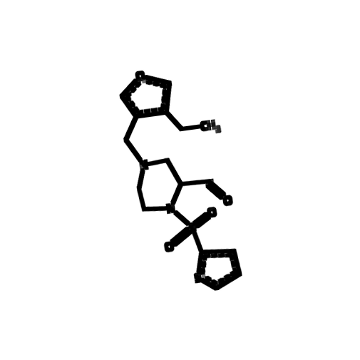 CCc1cocc1CN1CCN(S(=O)(=O)c2cccs2)C([C]=O)C1